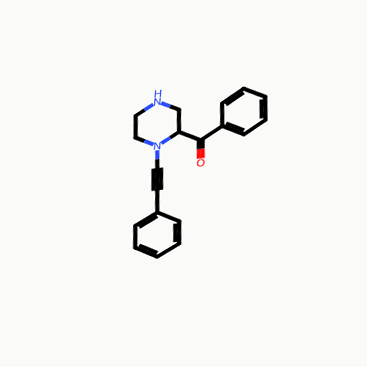 O=C(c1ccccc1)C1CNCCN1C#Cc1ccccc1